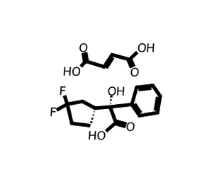 O=C(O)C=CC(=O)O.O=C(O)[C@](O)(c1ccccc1)[C@@H]1CCC(F)(F)C1